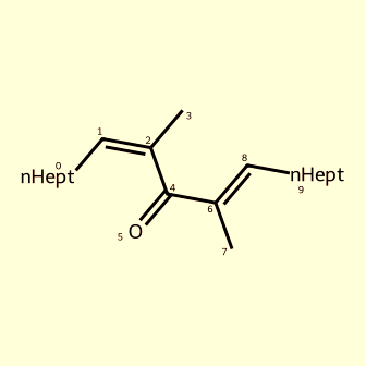 CCCCCCCC=C(C)C(=O)C(C)=CCCCCCCC